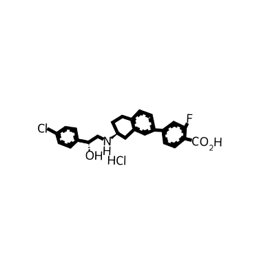 Cl.O=C(O)c1ccc(-c2ccc3c(c2)C[C@@H](NC[C@H](O)c2ccc(Cl)cc2)CC3)cc1F